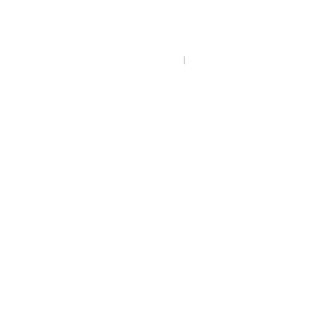 C/C=C/CCC1CCC(c2ccc(I)cc2)CC1